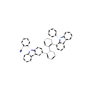 N#Cc1ccccc1-n1c2ccccc2c2cc(C3=CC=CCC3C3=C(c4cccc5c6ccccc6n(-c6ccccc6)c45)CCC=C3)ccc21